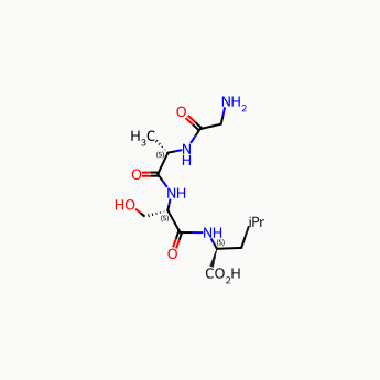 CC(C)C[C@H](NC(=O)[C@H](CO)NC(=O)[C@H](C)NC(=O)CN)C(=O)O